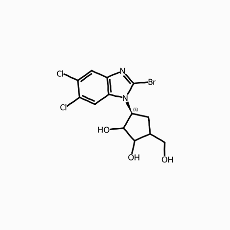 OCC1C[C@H](n2c(Br)nc3cc(Cl)c(Cl)cc32)C(O)C1O